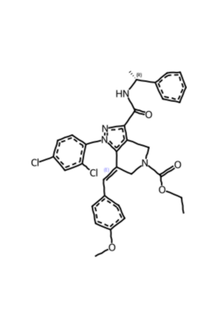 CCOC(=O)N1C/C(=C\c2ccc(OC)cc2)c2c(c(C(=O)N[C@H](C)c3ccccc3)nn2-c2ccc(Cl)cc2Cl)C1